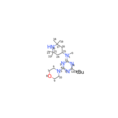 CN(c1nc(N2CCOCC2)nc(C(C)(C)C)n1)C1CC(C)(C)NC(C)(C)C1